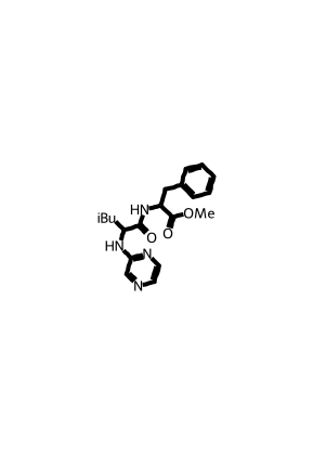 CCC(C)C(Nc1cnccn1)C(=O)NC(Cc1ccccc1)C(=O)OC